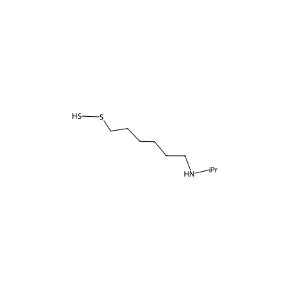 CC(C)NCCCCCCSS